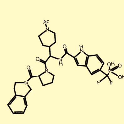 CC(=O)N1CCC(C(NC(=O)c2cc3cc(C(F)(F)P(=O)(O)O)ccc3[nH]2)C(=O)N2CCC[C@H]2C(=O)N2CCc3ccccc3C2)CC1